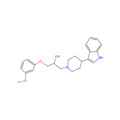 COc1cccc(OCC(O)CN2CCC(c3c[nH]c4ccccc34)CC2)c1